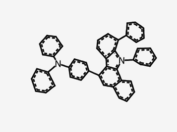 c1ccc(-c2cccc3c4c(-c5ccc(N(c6ccccc6)c6ccccc6)cc5)cc5ccccc5c4n(-c4ccccc4)c23)cc1